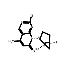 Cc1cc(=O)n([C@@H]2CC[C@H]3C[C@]32C)c2nc(Cl)ncc12